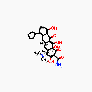 CN(C)[C@H]1C(O)=C(C(N)=O)C(=O)[C@@]2(O)C(O)=C3C(=O)c4c(O)ccc(C5CCCC5)c4C[C@@H]3C[C@H]12